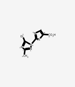 CCc1nc(C)nn1-c1ncc(C(=O)O)s1